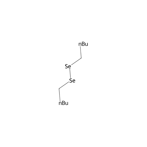 CCCCC[Se][Se]CCCCC